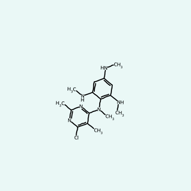 CNc1cc(NC)c(N(C)c2nc(C)nc(Cl)c2C)c(NC)c1